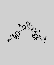 Cc1c(CN2CCC(Nc3ncnc4sc(CC(F)(F)F)cc34)CC2)ccc2c1cc(C#N)n2CCc1ccc(NC(=O)CC#N)cc1